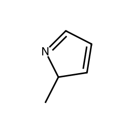 CC1C=CC=N1